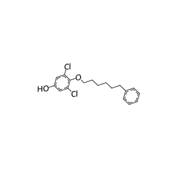 Oc1cc(Cl)c(OCCCCCCc2ccccc2)c(Cl)c1